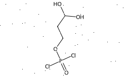 O=P(Cl)(Cl)OCCC(O)O